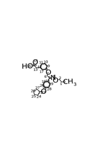 CCCON=C(COc1cccc(CC(=O)O)c1)c1ccc(OC2CCCC2)cc1